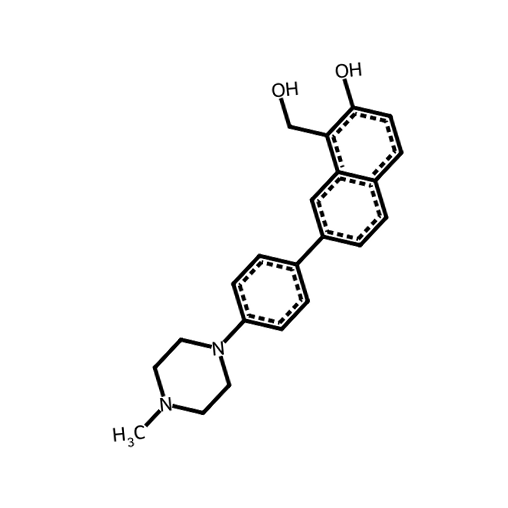 CN1CCN(c2ccc(-c3ccc4ccc(O)c(CO)c4c3)cc2)CC1